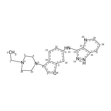 CCN1CCN(c2coc3cc(Nc4n[nH]c5cccnc45)ccc23)CC1